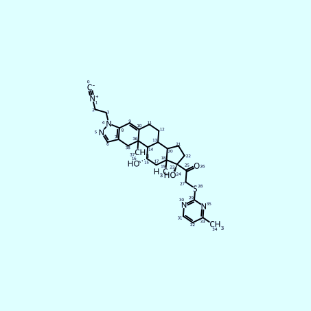 [C-]#[N+]CCn1ncc2c1C=C1CCC3C([C@@H](O)CC4(C)C3CC[C@]4(O)C(=O)CSc3nccc(C)n3)C1(C)C2